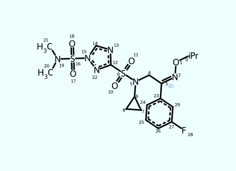 CC(C)O/N=C(\CN(C1CC1)S(=O)(=O)c1ncn(S(=O)(=O)N(C)C)n1)c1cccc(F)c1